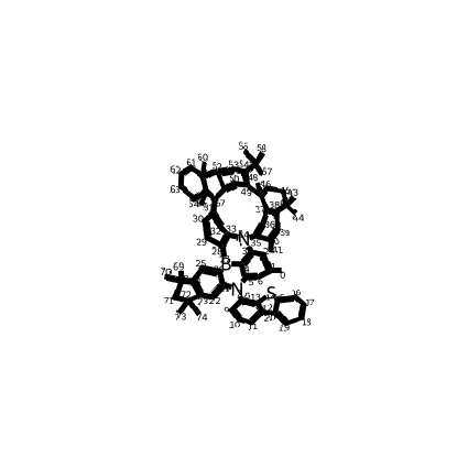 Cc1cc2c3c(c1)N(c1cccc4c1sc1ccccc14)c1cc4c(cc1B3c1ccc3cc1N2c1cc2c(cc1C)C(C)(C)CCC2(C)c1cc2c(cc1C(C)(C)C)C1(C)CCCCC1(C)C32)C(C)(C)CC4(C)C